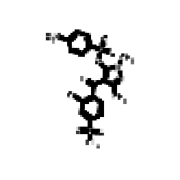 Cc1nn(C)c(OS(=O)(=O)c2ccc([N+](=O)[O-])cc2)c1C(=O)c1ccc(S(C)(=O)=O)cc1Cl